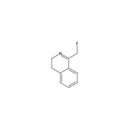 FCC1=NCCc2ccccc21